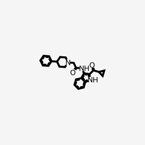 O=C(CN1CCC(c2ccccc2)CC1)Nc1c(C(=O)C2CC2)[nH]c2ccccc12